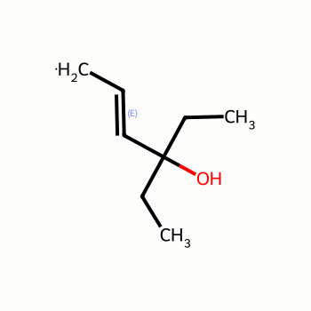 [CH2]/C=C/C(O)(CC)CC